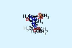 CC[C@@H]1CN(c2cc(=O)n(C)c3cc(COS(C)(=O)=O)nn23)[C@@H](C)CN1C(=O)OC(C)(C)C